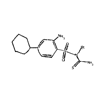 CC(C)N(C(N)=S)S(=O)(=O)c1ccc(C2CCCCC2)cc1N